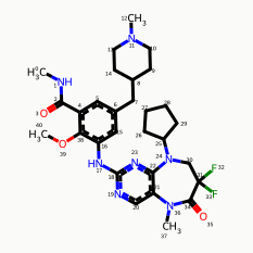 CNC(=O)c1cc(CC2CCN(C)CC2)cc(Nc2ncc3c(n2)N(C2CCCC2)CC(F)(F)C(=O)N3C)c1OC